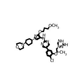 COCCCOc1nn([C@H]2CC[C@H](N3CCOCC3)CC2)cc1Nc1ncc(-c2ccc(Cl)c(O[C@@H](C)CN(C=N)N=N)c2)cn1